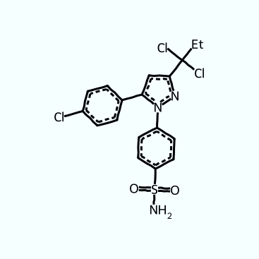 CCC(Cl)(Cl)c1cc(-c2ccc(Cl)cc2)n(-c2ccc(S(N)(=O)=O)cc2)n1